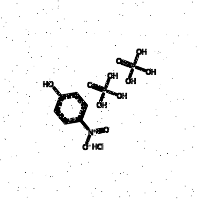 Cl.O=P(O)(O)O.O=P(O)(O)O.O=[N+]([O-])c1ccc(O)cc1